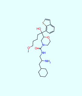 COCCCCC(O)(c1cccc2ccsc12)C1CN(C(=O)NCC(N)CC2CCCCC2)CCO1